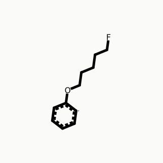 FCCCCCOc1[c]cccc1